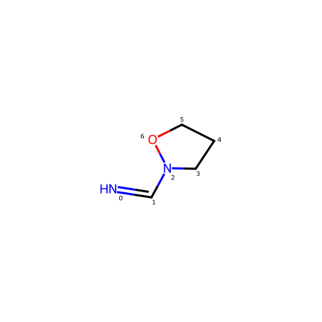 N=CN1CCCO1